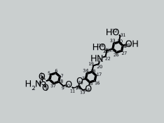 NS(=O)(=O)c1cccc(COC[C@@H]2COc3ccc(CCNC[C@H](O)c4ccc(O)c(CO)c4)cc3O2)c1